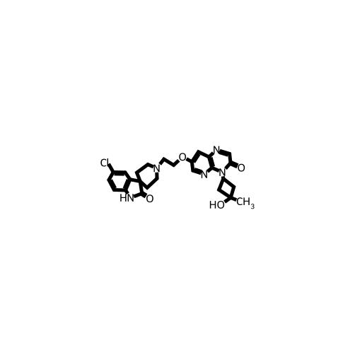 CC1(O)CC(n2c(=O)cnc3cc(OCCN4CCC5(CC4)C(=O)Nc4ccc(Cl)cc45)cnc32)C1